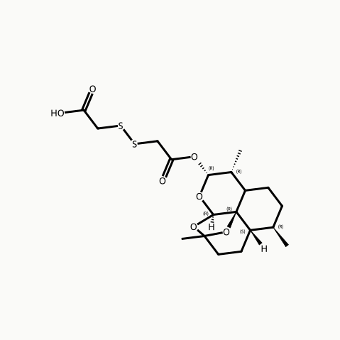 C[C@@H]1CCC2[C@@H](C)[C@@H](OC(=O)CSSCC(=O)O)O[C@@H]3OC4(C)CC[C@@H]1[C@@]23O4